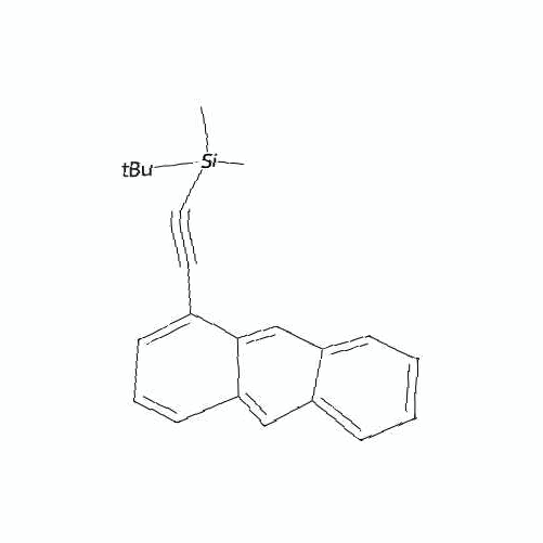 CC(C)(C)[Si](C)(C)C#Cc1cccc2cc3ccccc3cc12